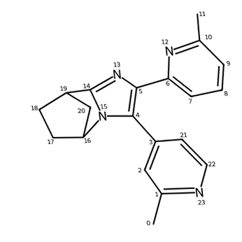 Cc1cc(-c2c(-c3cccc(C)n3)nc3n2C2CCC3C2)ccn1